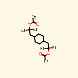 CCC(=O)OC(CC)(CC)CC1CCC(CC(CC)(CC)OC(=O)CC)CC1